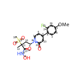 COc1ccc(-c2ccn(CCC(C)(C(=O)NO)S(C)(=O)=O)c(=O)c2)c(F)c1